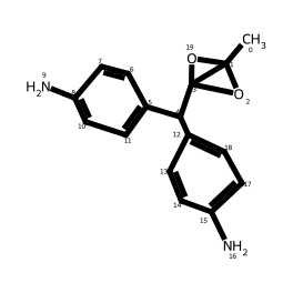 CC12OC1(C(c1ccc(N)cc1)c1ccc(N)cc1)O2